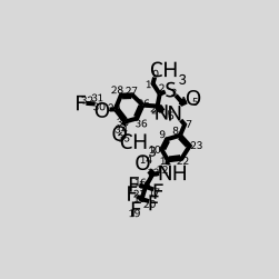 CCC1SC(=O)N(Cc2ccc(NC(=O)C(F)(F)C(F)(F)F)cc2)N=C1c1ccc(OCF)c(OC)c1